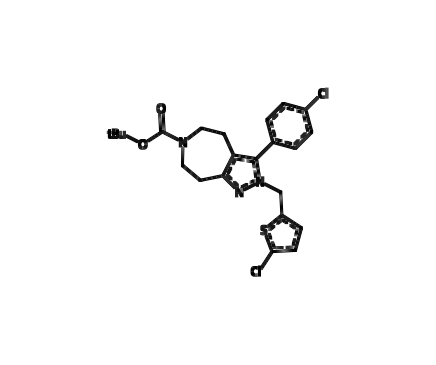 CC(C)(C)OC(=O)N1CCc2nn(Cc3ccc(Cl)s3)c(-c3ccc(Cl)cc3)c2CC1